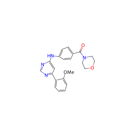 COc1ccccc1-c1cc(Nc2ccc(C(=O)N3CCOCC3)cc2)ncn1